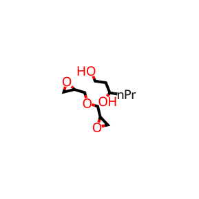 C(OCC1CO1)C1CO1.CCCC(O)CCO